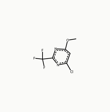 COc1cc(Cl)nc(C(F)(F)F)n1